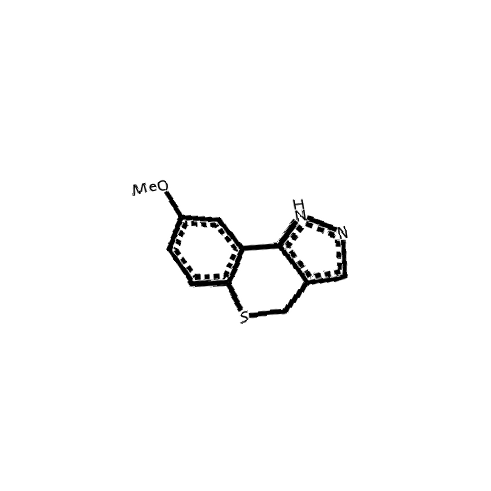 COc1ccc2c(c1)-c1[nH]ncc1CS2